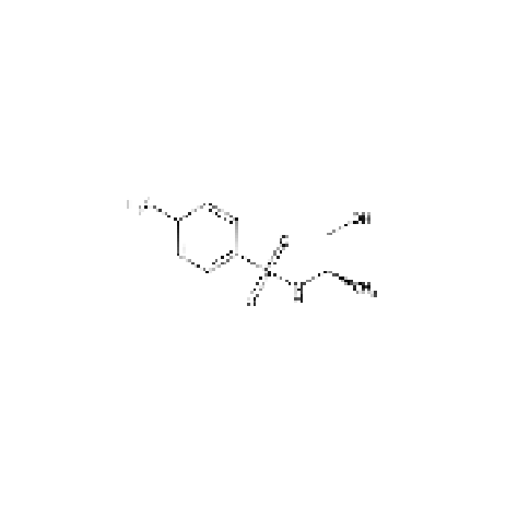 Cc1ccc(S(=O)(=O)N[C@H](C)CO)cc1